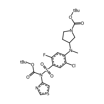 CN(c1cc(F)c(S(=O)(=O)N(C(=O)OC(C)(C)C)c2cscn2)cc1Cl)C1CCN(C(=O)OC(C)(C)C)C1